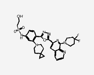 O=S(=O)(CCO)Nc1ccc(-c2nnc(-c3cc4cccnc4c(N4CCC(F)(F)CC4)n3)o2)c(N2CCC3(CC2)CC3)c1